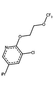 CC(C)c1cnc(OCCOC(F)(F)F)c(Cl)c1